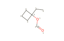 CCC1(OC=O)CCC1